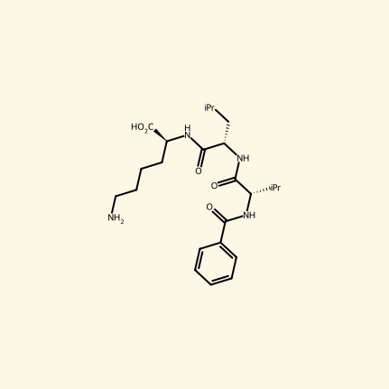 CC(C)C[C@H](NC(=O)[C@@H](NC(=O)c1ccccc1)C(C)C)C(=O)N[C@@H](CCCCN)C(=O)O